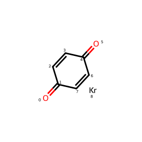 O=C1C=CC(=O)C=C1.[Kr]